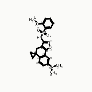 COc1ccccc1S(=O)(=O)Nc1noc2c1CC1(CC1)c1ccc(N(C)C)cc1-2